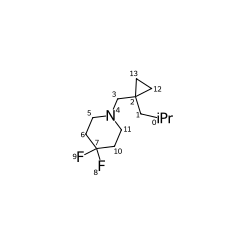 CC(C)CC1(CN2CCC(F)(F)CC2)CC1